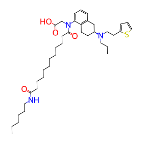 CCCCCCNC(=O)CCCCCCCCCCC(=O)N(CC(=O)O)c1cccc2c1CC[C@H](N(CCC)CCc1cccs1)C2